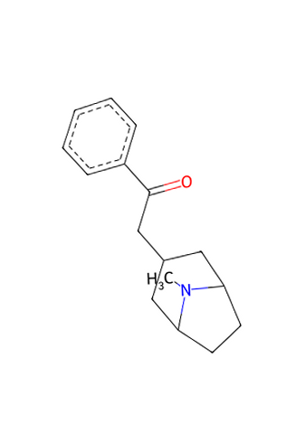 CN1C2CCC1CC(CC(=O)c1ccccc1)C2